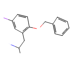 NC(Cc1cc(I)ccc1OCc1ccccc1)C(=O)O